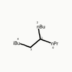 [CH2]CCC(CCCC)CC(C)CC